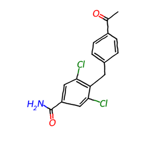 CC(=O)c1ccc(Cc2c(Cl)cc(C(N)=O)cc2Cl)cc1